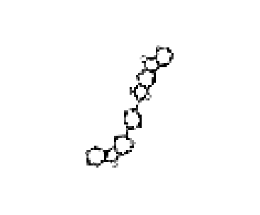 c1ccc2c(c1)oc1cc3nc(-c4ccc(-c5ccc6sc7ccccc7c6c5)cc4)oc3cc12